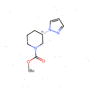 CC(C)(C)OC(=O)N1CCC[C@H](n2cccn2)C1